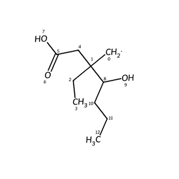 [CH2]C(CC)(CC(=O)O)C(O)CCC